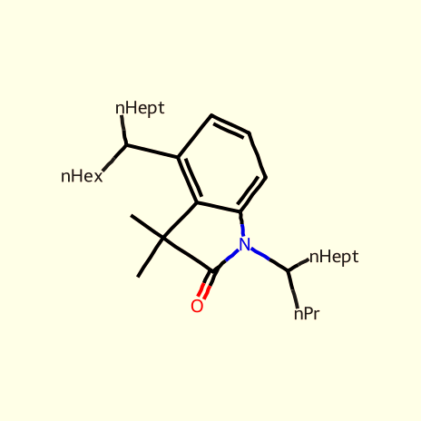 CCCCCCCC(CCCCCC)c1cccc2c1C(C)(C)C(=O)N2C(CCC)CCCCCCC